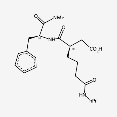 CCCNC(=O)CCC[C@H](CC(=O)O)C(=O)N[C@@H](Cc1ccccc1)C(=O)NC